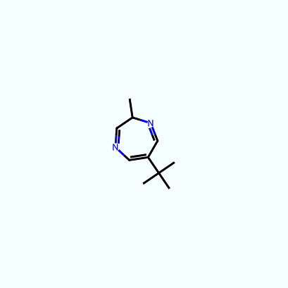 CC1C=NC=C(C(C)(C)C)C=N1